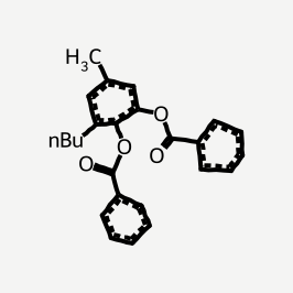 CCCCc1cc(C)cc(OC(=O)c2ccccc2)c1OC(=O)c1ccccc1